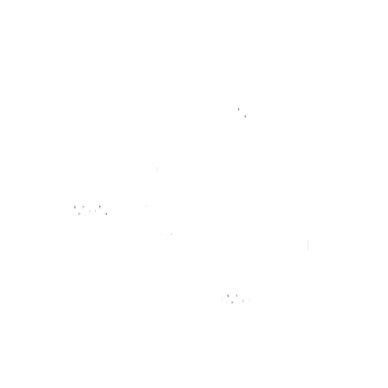 CNC(=O)Oc1cc(C(C)[N+](C)(C)C)ccc1OC.[I-]